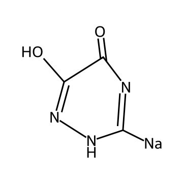 O=c1n[c]([Na])[nH]nc1O